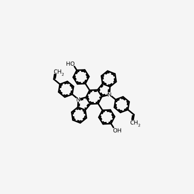 C=Cc1ccc(-n2c3ccccc3c3c(-c4ccc(O)cc4)c4c(c(-c5ccc(O)cc5)c32)c2ccccc2n4-c2ccc(C=C)cc2)cc1